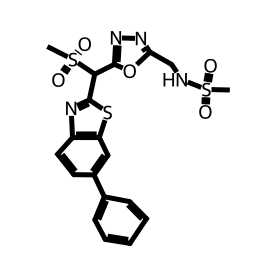 CS(=O)(=O)NCc1nnc(C(c2nc3ccc(-c4ccccc4)cc3s2)S(C)(=O)=O)o1